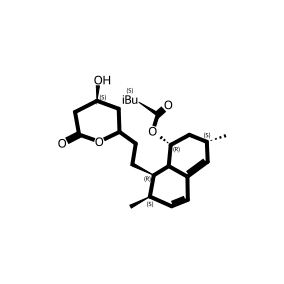 CC[C@H](C)C(=O)O[C@@H]1C[C@H](C)C=C2C=C[C@@H](C)[C@@H](CCC3C[C@H](O)CC(=O)O3)C21